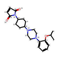 CC(C)Oc1ccccc1N1CCN(C2CCC(N3C(=O)C=CC3=O)CC2)CC1